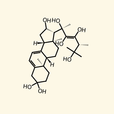 C[C@@H](/C(O)=C(\O)[C@](C)(O)[C@H]1C(O)C[C@H]2C3=CC=C4CC(O)(O)CC[C@]4(C)[C@H]3CC[C@@]21C)C(C)(C)O